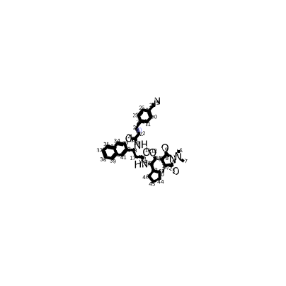 C[C@@H]1C(=O)N(N(C)C)C(=O)[C@H]1C(=O)[C@@H](NC(=O)CC(NC(=O)/C=C/c1ccc(C#N)cc1)c1ccc2ccccc2c1)C1CCCC1